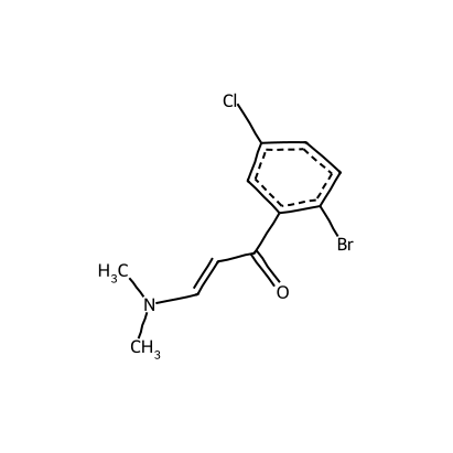 CN(C)/C=C/C(=O)c1cc(Cl)ccc1Br